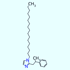 CCCCCCCCCCCCCCCCCn1ccnc1CC(C)c1ccccc1